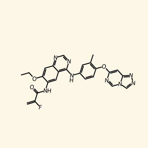 C=C(F)C(=O)Nc1cc2c(Nc3ccc(Oc4cc5nncn5cn4)c(C)c3)ncnc2cc1OCC